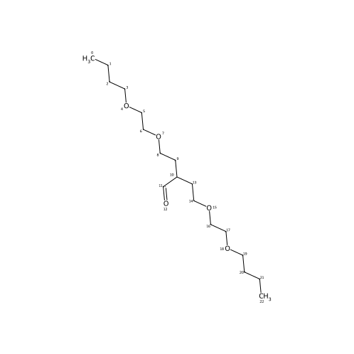 CCCCOCCOCCC([C]=O)CCOCCOCCCC